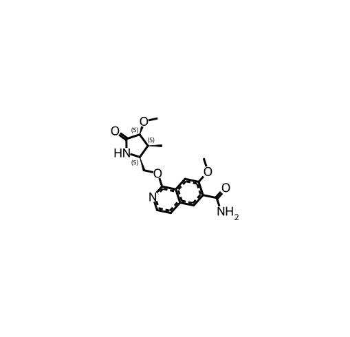 COc1cc2c(OC[C@H]3NC(=O)[C@@H](OC)[C@H]3C)nccc2cc1C(N)=O